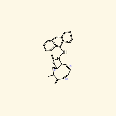 C=C1/C=C\C=C/C2/C(=C/C1C)C=CC(=C)N2Bc1c2ccccc2cc2ccccc12